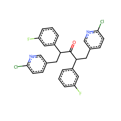 O=C(C(Cc1ccc(Cl)nc1)c1cccc(F)c1)C(Cc1ccc(Cl)nc1)c1cccc(F)c1